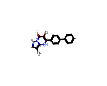 CCc1c(-c2ccc(-c3ccccc3)cc2)[nH]c2c(C#N)cnn2c1=O